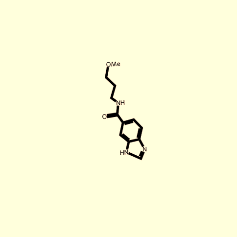 COCCCNC(=O)c1ccc2nc[nH]c2c1